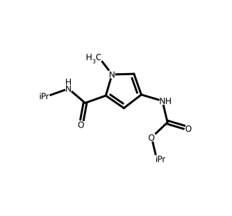 CC(C)NC(=O)c1cc(NC(=O)OC(C)C)cn1C